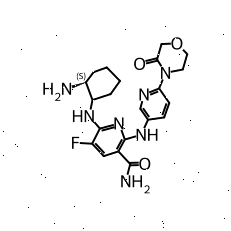 NC(=O)c1cc(F)c(NC2CCCC[C@@H]2N)nc1Nc1ccc(N2CCOCC2=O)nc1